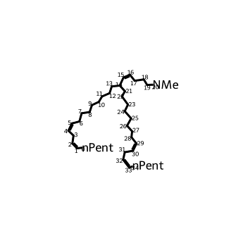 CCCCC/C=C\C/C=C\CCCCCCCCC(/C=C\CCCNC)CCCCCCCC/C=C\C/C=C\CCCCC